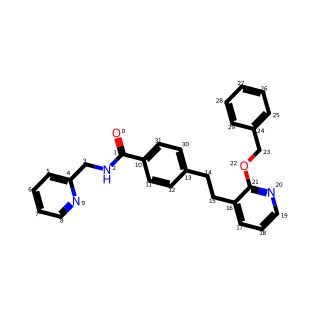 O=C(NCc1ccccn1)c1ccc(CCc2cccnc2OCc2ccccc2)cc1